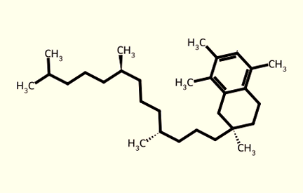 Cc1[c]c(C)c2c(c1C)C[C@](C)(CCC[C@H](C)CCC[C@H](C)CCCC(C)C)CC2